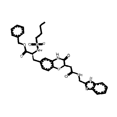 CCCCS(=O)(=O)N[C@@H](Cc1ccc2c(c1)NC(=O)C(CC(=O)NCc1nc3ccccc3[nH]1)O2)C(=O)OCc1ccccc1